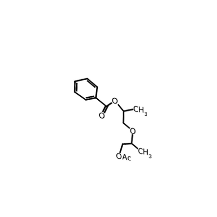 CC(=O)OCC(C)OCC(C)OC(=O)c1ccccc1